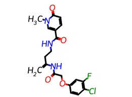 C=C(CCNC(=O)c1ccc(=O)n(C)c1)NC(=O)COc1ccc(Cl)c(F)c1